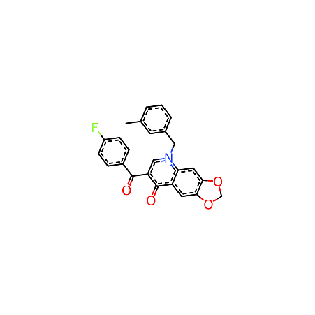 Cc1cccc(Cn2cc(C(=O)c3ccc(F)cc3)c(=O)c3cc4c(cc32)OCO4)c1